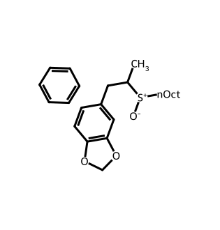 CCCCCCCC[S+]([O-])C(C)Cc1ccc2c(c1)OCO2.c1ccccc1